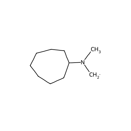 [CH2]N(C)C1CCCCCCC1